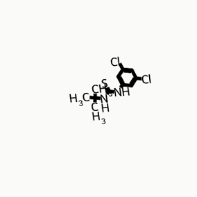 CC(C)(C)NC(=S)Nc1cc(Cl)cc(Cl)c1